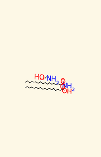 CCCCCCCCCCCCCCCCCC(=O)O.CCCCCCCCCCCCCCCCCC(N)=O.NCCO